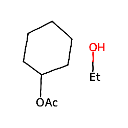 CC(=O)OC1CCCCC1.CCO